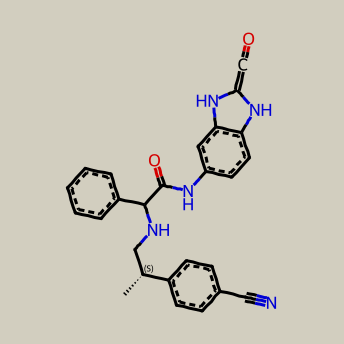 C[C@H](CNC(C(=O)Nc1ccc2c(c1)NC(=C=O)N2)c1ccccc1)c1ccc(C#N)cc1